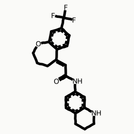 O=C(C=C1CCCOc2cc(C(F)(F)F)ccc21)Nc1ccc2c(c1)NCCC2